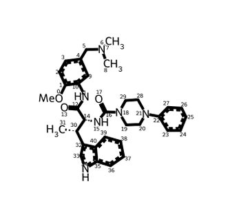 COc1ccc(CN(C)C)cc1NC(=O)[C@H](NC(=O)N1CCN(c2ccccc2)CC1)[C@@H](C)c1c[nH]c2ccccc12